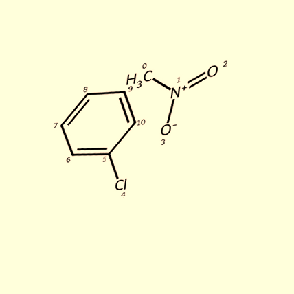 C[N+](=O)[O-].Clc1ccccc1